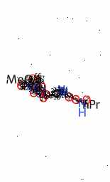 CCCC(=O)NCCOCCOCCn1nnc2c1CCC1C(CC2)C1COC(=O)N1CCC(C(=O)NCCN2CCOCC2)(N(CCCC(=O)OC)C(=O)c2ccc(C)cc2)CC1